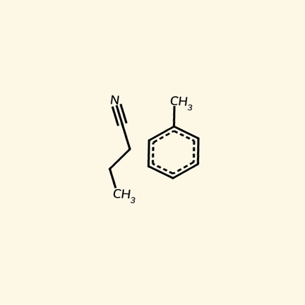 CCCC#N.Cc1ccccc1